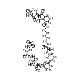 CS(=O)(=O)N1CCC(C(=O)NCC(=O)NC2NC(c3cccc(-c4cccc(CNC(=O)CCCCCCCOc5cccc6c5C(=O)N(C5CCC(=O)NC5=O)C6=O)c4)c3)CS2)C1